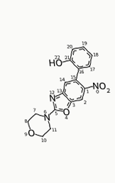 O=[N+]([O-])c1cc2oc(N3CCOCC3)nc2cc1-c1ccccc1O